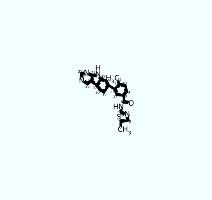 Cc1cnc(NC(=O)c2ccc(C)c(-c3ccc4c(c3)[nH]c3ncncc34)c2)s1